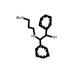 CC(C)COCCCNC(c1ccccc1)C(O)c1ccccc1